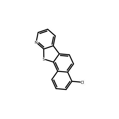 Clc1cccc2c1ccc1c3cccnc3sc21